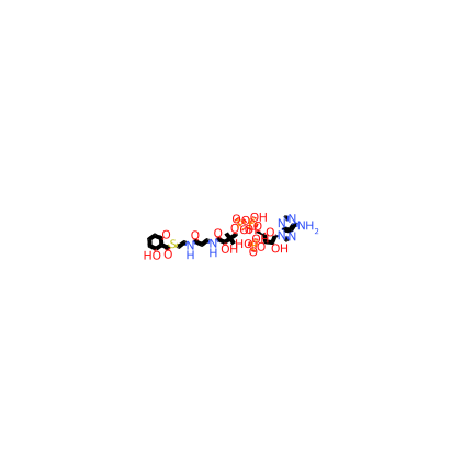 CC(C)(COP(=O)(O)OP(=O)(O)OC[C@H]1O[C@@H](n2cnc3c(N)ncnc32)[C@H](O)[C@@H]1OP(=O)(O)O)C(O)C(=O)NCCC(=O)NCCSC(=O)C1C(=O)CCCC1O